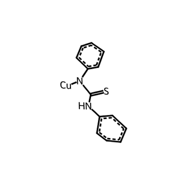 S=C(Nc1ccccc1)[N]([Cu])c1ccccc1